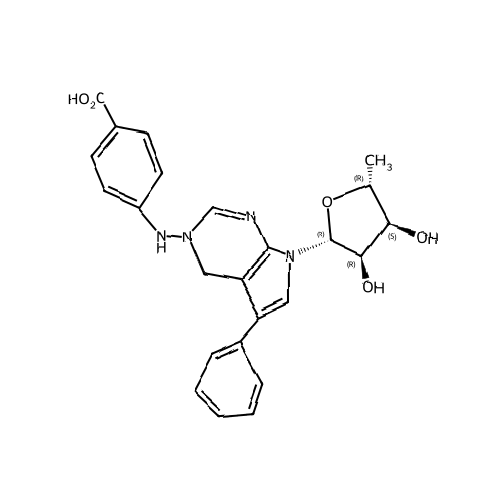 C[C@H]1O[C@@H](n2cc(-c3ccccc3)c3c2N=CN(Nc2ccc(C(=O)O)cc2)C3)[C@H](O)[C@@H]1O